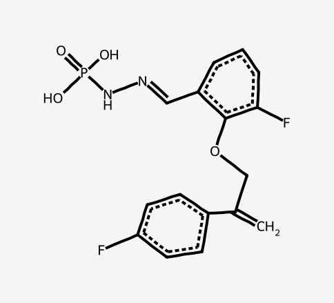 C=C(COc1c(F)cccc1C=NNP(=O)(O)O)c1ccc(F)cc1